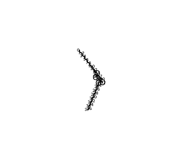 CCCCCCCCCCCC/C=C/OC(=O)CC(C)(C)C(=O)O/C=C/CCCCCCCCCCCC